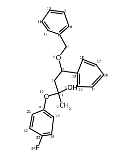 CC(O)(CC(OCc1ccccc1)c1ccccc1)Oc1ccc(F)cc1